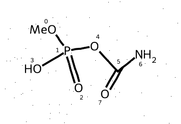 COP(=O)(O)OC(N)=O